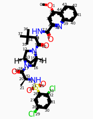 COc1cc(C(=O)N[C@H](C(=O)N2C[C@@H]3C[C@H]2CN3C(=O)[C@H](C)NS(=O)(=O)c2cc(Cl)ccc2Cl)C(C)(C)C)nc2ccccc12